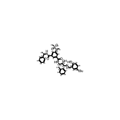 C[C@@H](NC(=O)c1cc(C(=O)N[C@@H](Cc2ccccc2)[C@H](O)CNCc2cc(C(C)(C)C)ccc2O)cc(N(C)S(C)(=O)=O)c1)c1ccccc1